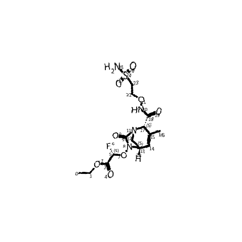 CCOC(=O)[C@H](F)ON1C(=O)N2C[C@@H]1C=C(C)[C@H]2C(=O)NOCCS(N)(=O)=O